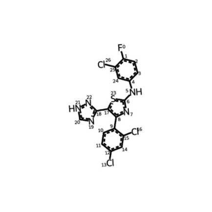 Fc1ccc(Nc2nc(-c3ccc(Cl)cc3Cl)c(-c3nc[nH]n3)s2)cc1Cl